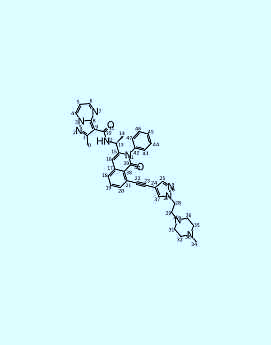 Cc1nn2cccnc2c1C(=O)N[C@@H](C)c1cc2cccc(C#Cc3cnn(CCN4CCN(C)CC4)c3)c2c(=O)n1-c1ccccc1